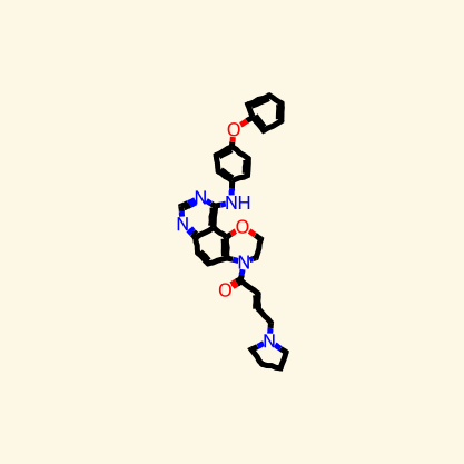 O=C(/C=C/CN1CCCC1)N1CCOc2c1ccc1ncnc(Nc3ccc(Oc4ccccc4)cc3)c21